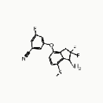 CSc1ccc(Oc2cc(F)cc(C#N)c2)c2c1C(N)C(F)(F)C2